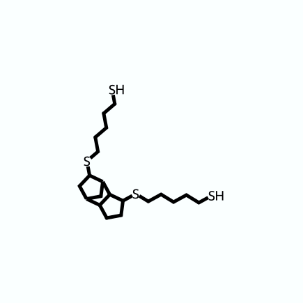 SCCCCCSC1CC2CC1C1C(SCCCCCS)CCC21